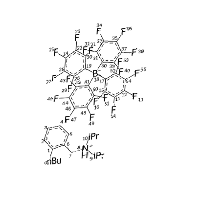 CCCCc1ccccc1C[NH+](C(C)C)C(C)C.Fc1c(F)c(F)c([B-](c2c(F)c(F)c(F)c(F)c2F)(c2c(F)c(F)c(F)c(F)c2F)c2c(F)c(F)c(F)c(F)c2F)c(F)c1F